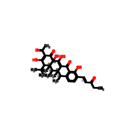 CCC(=O)/C=C/c1ccc2c(c1O)C(=O)C1=C(O)[C@@]3(O)C(=O)C(C(C)=O)=C(O)C(C(C)C)[C@@]3(C)[C@H](C)[C@@]1(C)[C@@H]2C